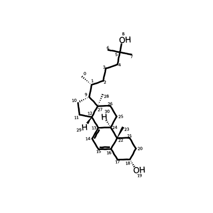 C[C@H](CCCC(C)(C)O)[C@H]1CC[C@H]2C3=CC=C4C[C@@H](O)CC[C@@]4(C)[C@@H]3CC[C@]12C